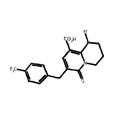 CCC1CCCn2c1c(C(=O)O)cc(Cc1ccc(C(F)(F)F)cc1)c2=O